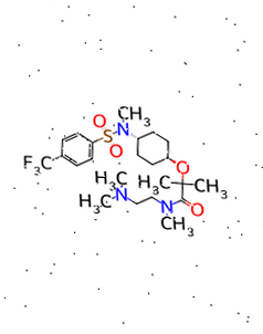 CN(C)CCN(C)C(=O)C(C)(C)O[C@H]1CC[C@H](N(C)S(=O)(=O)c2ccc(C(F)(F)F)cc2)CC1